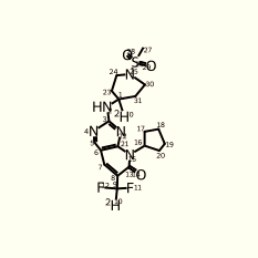 [2H]C1(Nc2ncc3cc(C([2H])(F)F)c(=O)n(C4CCCC4)c3n2)CCN(S(C)(=O)=O)CC1